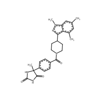 Cc1cc(C)c2c(C3CCN(C(=O)c4ccc(C5(C)NC(=O)NC5=O)cc4)CC3)nn(C)c2c1